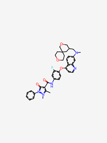 Cc1c(C(=O)Nc2ccc(Oc3ccnc4cc(N(C)CC5COCC6(CCOCC6)C5)ccc34)c(F)c2)c(=O)n(-c2ccccc2)n1C